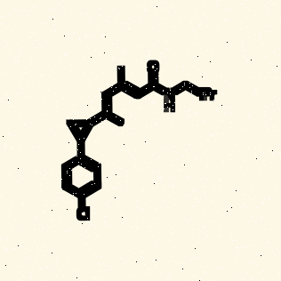 CC(=CC(=O)NCC(C)C)C=C(C)C1CC1c1ccc(Cl)cc1